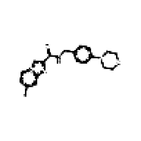 Cc1ccn2cc(C(=O)NCc3ccc(N4CCOCC4)cc3)nc2c1